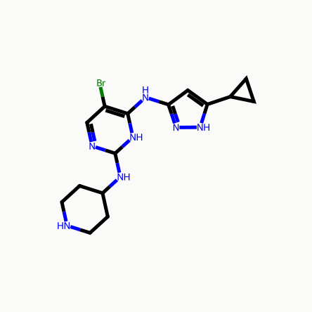 BrC1=C(Nc2cc(C3CC3)[nH]n2)NC(NC2CCNCC2)N=C1